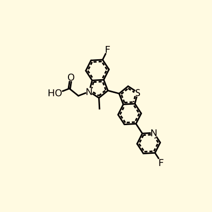 Cc1c(-c2csc3cc(-c4ccc(F)cn4)ccc23)c2cc(F)ccc2n1CC(=O)O